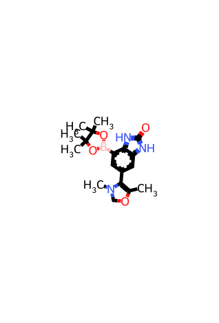 CC1=C(c2cc(B3OC(C)(C)C(C)(C)O3)c3[nH]c(=O)[nH]c3c2)N(C)CO1